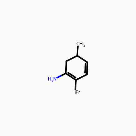 CC1C=CC(C(C)C)=C(N)C1